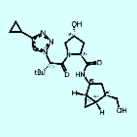 CC(C)(C)[C@@H](C(=O)N1C[C@H](O)C[C@H]1C(=O)N[C@H]1C[C@@H](CO)[C@@H]2C[C@@H]21)n1cc(C2CC2)nn1